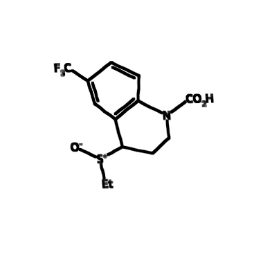 CC[S+]([O-])C1CCN(C(=O)O)c2ccc(C(F)(F)F)cc21